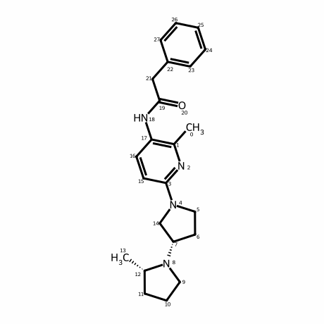 Cc1nc(N2CC[C@H](N3CCC[C@@H]3C)C2)ccc1NC(=O)Cc1ccccc1